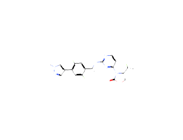 C[C@H](Nc1nccc(N2C(=O)OC[C@@H]2[C@H](C)F)n1)c1cc(F)c(-c2cnn(C)c2)cc1F